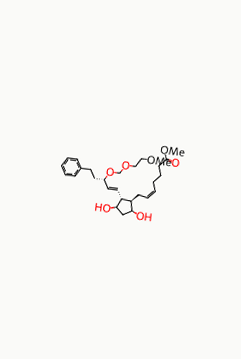 COCCOCO[C@H](/C=C/[C@@H]1[C@@H](C/C=C\CCCC(=O)OC)[C@@H](O)C[C@H]1O)CCc1ccccc1